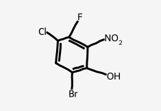 O=[N+]([O-])c1c(O)c(Br)cc(Cl)c1F